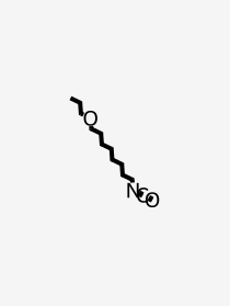 CCCOCCCCCCCCN=C=O